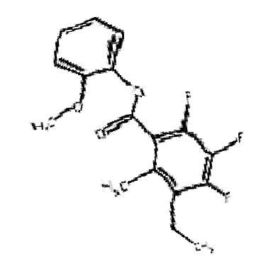 CCc1c(C)c(C(=O)Oc2ccccc2OC)c(F)c(F)c1F